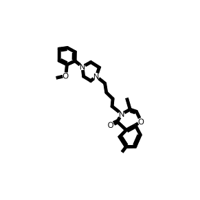 COc1ccccc1N1CCN(CCCCN2C(=O)c3cc(C)ccc3OC=C2C)CC1